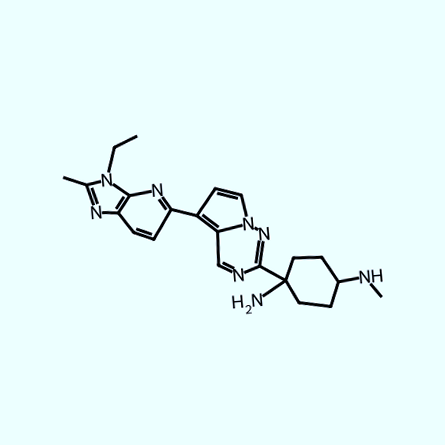 CCn1c(C)nc2ccc(-c3ccn4nc(C5(N)CCC(NC)CC5)ncc34)nc21